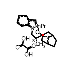 CCCOC1CC2CCC(C1)N2C[C@@H](C)Cn1ncc2ccccc21.O=C(O)C(=O)O